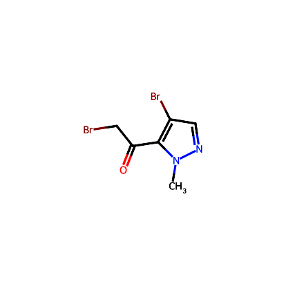 Cn1ncc(Br)c1C(=O)CBr